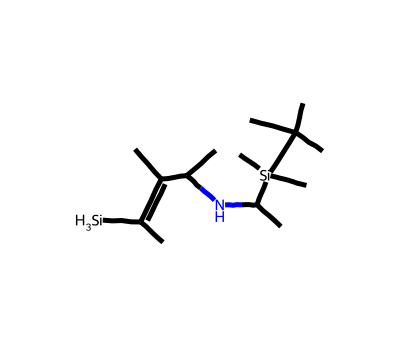 CC([SiH3])=C(C)C(C)NC(C)[Si](C)(C)C(C)(C)C